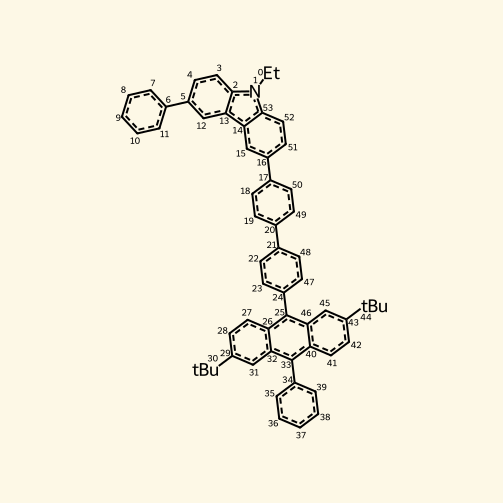 CCn1c2ccc(-c3ccccc3)cc2c2cc(-c3ccc(-c4ccc(-c5c6ccc(C(C)(C)C)cc6c(-c6ccccc6)c6ccc(C(C)(C)C)cc56)cc4)cc3)ccc21